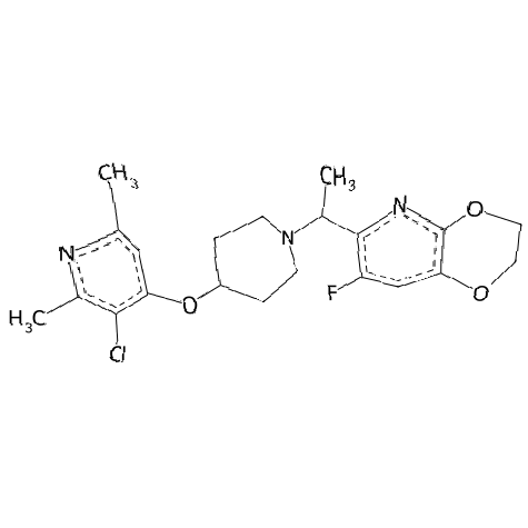 Cc1cc(OC2CCN(C(C)c3nc4c(cc3F)OCCO4)CC2)c(Cl)c(C)n1